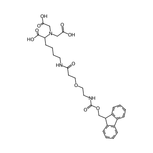 O=C(O)CN(CC(=O)O)C(CCCCNC(=O)CCOCCNC(=O)OCC1c2ccccc2-c2ccccc21)C(=O)O